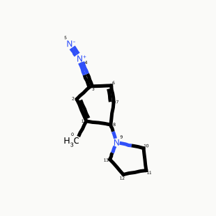 CC1=CC(=[N+]=[N-])C=CC1N1CCCC1